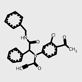 C#CC(=O)N(c1ccc(C(C)=O)c(Cl)c1)C(C(=O)NCc1ccccc1)c1ccccc1